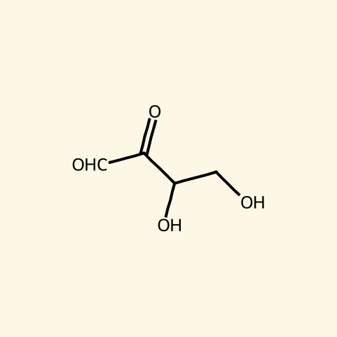 O=CC(=O)C(O)CO